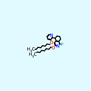 CCCCCCCCOc1cc2c(c(F)n1)CCCC2c1ncccc1OCCCCCCCC